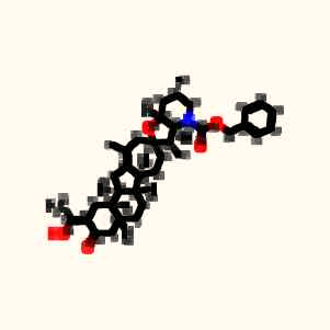 CC1=C2C[C@H]3[C@@H](CC[C@@H]4CC(=O)/C(=C(\O)C(F)(F)F)C[C@@]43C)[C@@H]2CC[C@@]2(C1)O[C@@H]1C[C@H](C)CN(C(=O)OCc3ccccc3)[C@H]1[C@H]2C